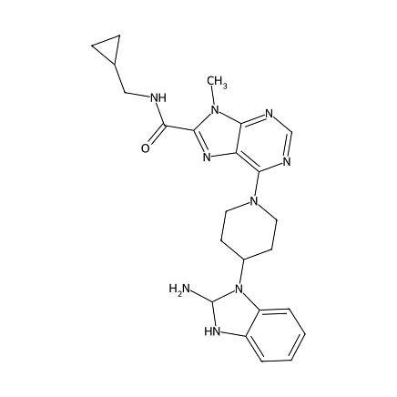 Cn1c(C(=O)NCC2CC2)nc2c(N3CCC(N4c5ccccc5NC4N)CC3)ncnc21